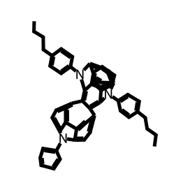 CCCCc1ccc(-n2c3ccc(cc3)n(-c3ccc(CCCC)cc3)c3c4c5ccc(cc5)c4c2c2c4ccc5c(c4)c4cc(ccc4n5-c4ccccc4)c23)cc1